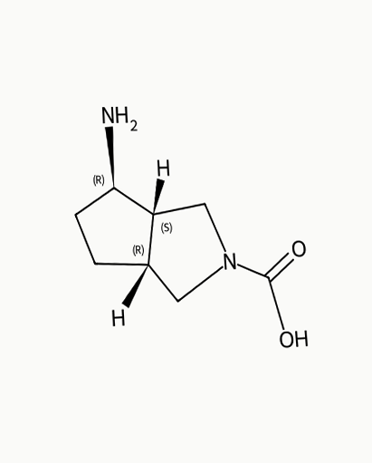 N[C@@H]1CC[C@H]2CN(C(=O)O)C[C@H]21